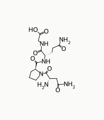 NC(=O)CC[C@H](NC(=O)[C@@H]1CCCN1C(=O)[C@@H](N)CC(N)=O)C(=O)NCC(=O)O